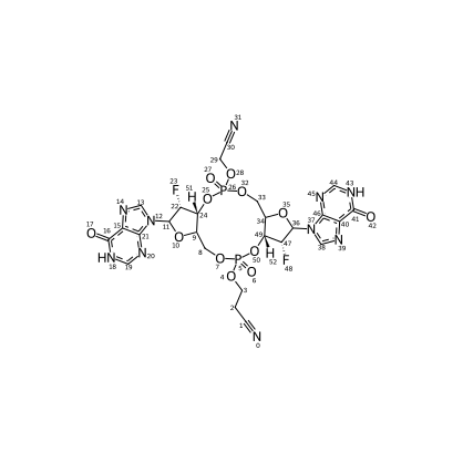 N#CCCOP1(=O)OCC2OC(n3cnc4c(=O)[nH]cnc43)[C@H](F)[C@@H]2OP(=O)(OCC#N)OCC2OC(n3cnc4c(=O)[nH]cnc43)[C@H](F)[C@@H]2O1